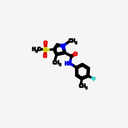 Cc1cc(NC(=O)c2c(C)c(S(C)(=O)=O)cn2C)ccc1F